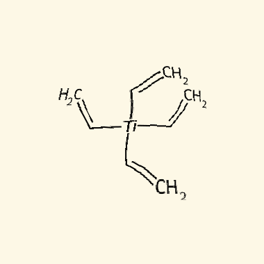 C=[CH][Ti]([CH]=C)([CH]=C)[CH]=C